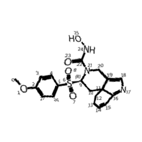 COc1ccc(S(=O)(=O)[C@@H]2CC34CCC=CC3=NC=C4CN2C(=O)NO)cc1